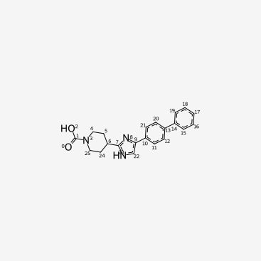 O=C(O)N1CCC(c2nc(-c3ccc(-c4ccccc4)cc3)c[nH]2)CC1